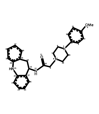 COc1ccc(N2CCN(CC(=O)NC3Cc4ccccc4Nc4ccccc43)CC2)cc1